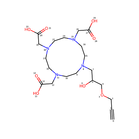 C#CCOCC(O)CN1CCN(CC(=O)O)CCN(CC(=O)O)CCN(CC(=O)O)CC1